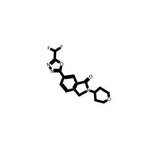 O=C1c2cc(-c3nnc(C(F)F)o3)ccc2CN1C1CCOCC1